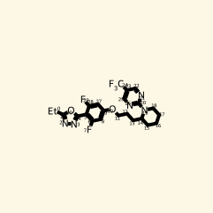 CCc1nnc(-c2c(F)cc(OCCCC3CCCCN3c3ncc(C(F)(F)F)cn3)cc2F)o1